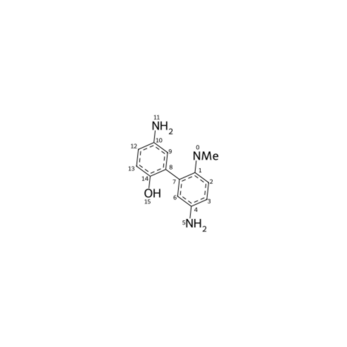 CNc1ccc(N)cc1-c1cc(N)ccc1O